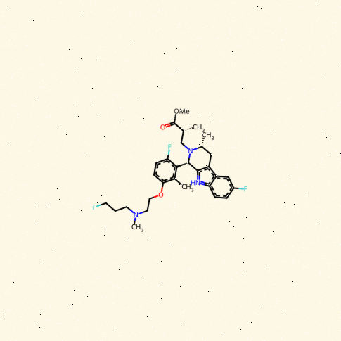 COC(=O)[C@H](C)CN1[C@H](c2c(F)ccc(OCCN(C)CCCF)c2C)c2[nH]c3ccc(F)cc3c2C[C@H]1C